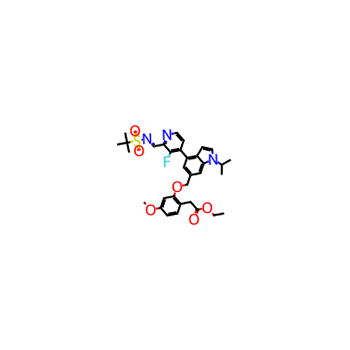 CCOC(=O)Cc1ccc(OC)cc1OCc1cc(-c2ccnc(C=NS(=O)(=O)C(C)(C)C)c2F)c2ccn(C(C)C)c2c1